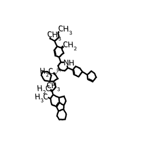 C=C1CC(C2C[C@@H](C(=C)CC(CC(=C)C3C(C)CC4=C5C(CCC53)C3CCCCC43)C3(C)CCCCC3)CC(C3=CCC(C4C=CCCC4)CC3)N2)C=CC1C(CC)CCC